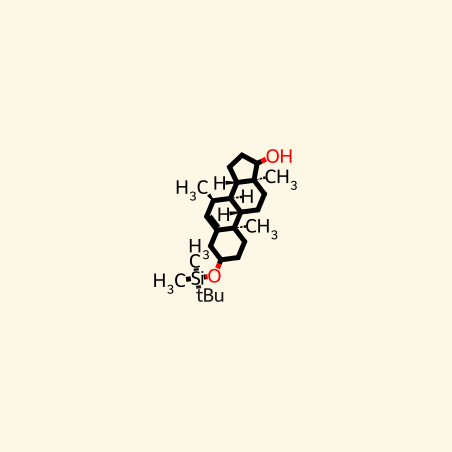 C[C@@H]1C=C2CC(O[Si](C)(C)C(C)(C)C)CC[C@]2(C)[C@H]2CC[C@]3(C)C(O)CC[C@H]3[C@H]12